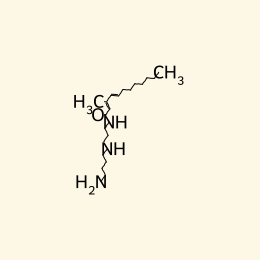 CCCCCCCC=CC(C)=CC(=O)NCCCNCCCCN